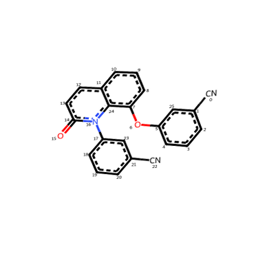 N#Cc1cccc(Oc2cccc3ccc(=O)n(-c4cccc(C#N)c4)c23)c1